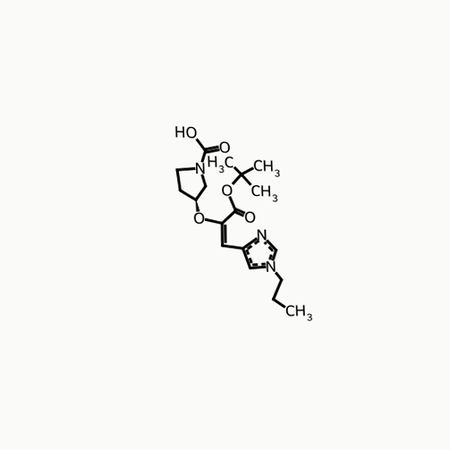 CCCn1cnc(/C=C(/O[C@H]2CCN(C(=O)O)C2)C(=O)OC(C)(C)C)c1